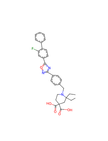 CCC1(CC)CC(C(=O)O)(C(=O)O)CCN1Cc1ccc(-c2noc(-c3ccc(-c4ccccc4)c(F)c3)n2)cc1